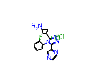 Cl.Cl.NC1CC(c2nnc(-c3cnccn3)n2-c2ccccc2F)C1